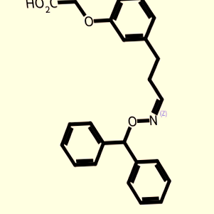 O=C(O)COc1cccc(CC/C=N\OC(c2ccccc2)c2ccccc2)c1